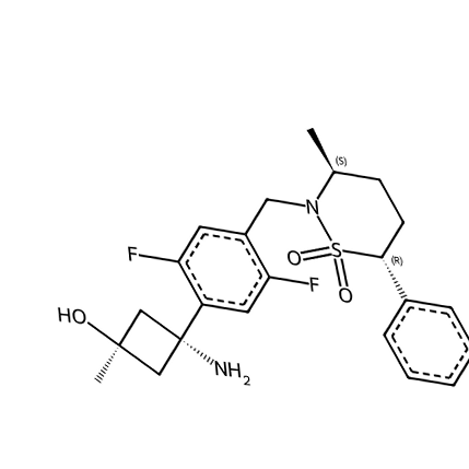 C[C@H]1CC[C@H](c2ccccc2)S(=O)(=O)N1Cc1cc(F)c([C@]2(N)C[C@](C)(O)C2)cc1F